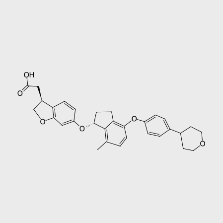 Cc1ccc(Oc2ccc(C3CCOCC3)cc2)c2c1[C@H](Oc1ccc3c(c1)OC[C@H]3CC(=O)O)CC2